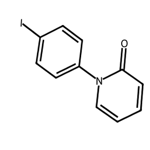 O=c1ccccn1-c1ccc(I)cc1